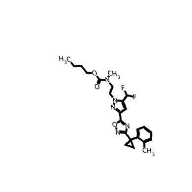 CCCCOC(=O)N(C)CCn1nc(-c2nc(C3(c4ccccc4C)CC3)no2)cc1C(F)F